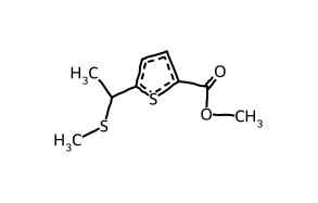 COC(=O)c1ccc(C(C)SC)s1